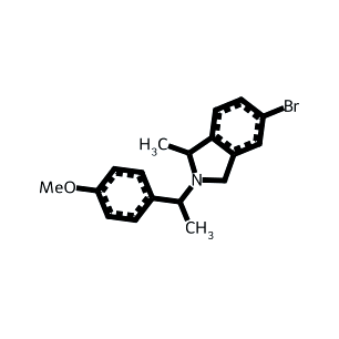 COc1ccc(C(C)N2Cc3cc(Br)ccc3C2C)cc1